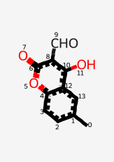 Cc1ccc2oc(=O)c(C=O)c(O)c2c1